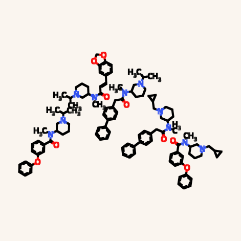 CC(C)N1CCCC(N(C)C(=O)C=Cc2ccc3c(c2)OCO3)C1.CC(C)N1CCCC(N(C)C(=O)Cc2ccc(-c3ccccc3)cc2)C1.CC(C)N1CCCC(N(C)C(=O)c2cccc(Oc3ccccc3)c2)C1.CN(C(=O)Cc1ccc(-c2ccccc2)cc1)C1CCCN(CC2CC2)C1.CN(C(=O)c1cccc(Oc2ccccc2)c1)C1CCCN(CC2CC2)C1